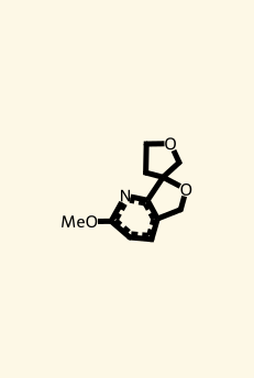 COc1ccc2c(n1)C1(CCOC1)OC2